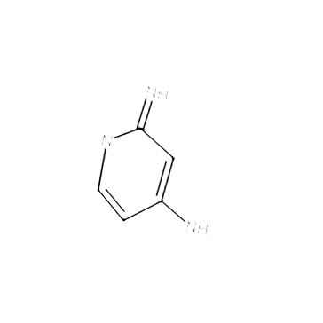 N=C1C=C(N)C=C[N]1